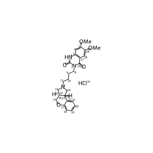 COc1cc2[nH]c(=O)n(CCCCN3C[C@@H]4COc5ccccc5[C@H]4C3)c(=O)c2cc1OC.Cl